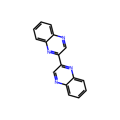 [c]1nc2ccccc2nc1-c1cnc2ccccc2n1